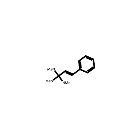 CNC(C=Cc1ccccc1)(NC)NC